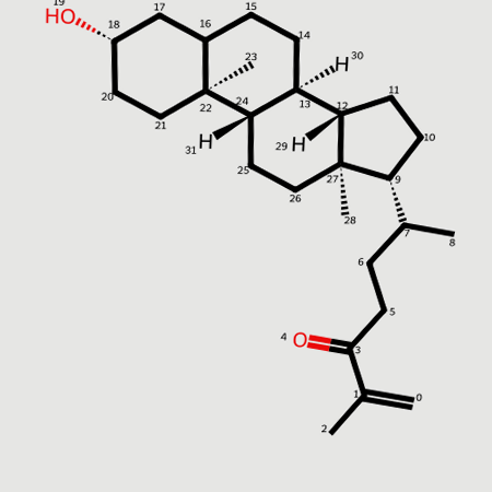 C=C(C)C(=O)CCC(C)[C@H]1CC[C@H]2[C@@H]3CCC4C[C@@H](O)CC[C@]4(C)[C@H]3CC[C@]12C